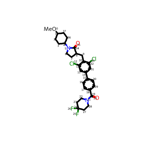 COC1CCC(N2CCC(Cc3c(Cl)cc(-c4ccc(C(=O)N5CCC(F)(F)CC5)cc4)cc3Cl)C2=O)CC1